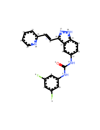 O=C(Nc1cc(F)cc(F)c1)Nc1ccc2[nH]nc(/C=C/c3ccccn3)c2c1